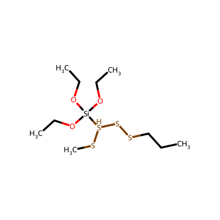 CCCSS[SH](SC)[Si](OCC)(OCC)OCC